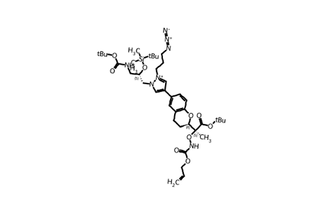 C=CCOC(=O)NO[C@](C)(C(=O)OC(C)(C)C)[C@H]1CCc2cc(-c3cn(C[C@H](CNC(=O)OC(C)(C)C)O[Si](C)(C)C(C)(C)C)[n+](CCCN=[N+]=[N-])c3)ccc2O1